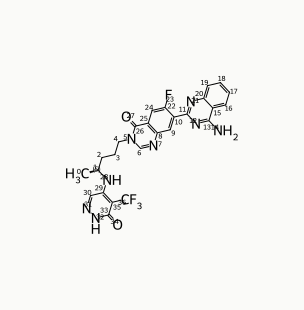 C[C@@H](CCCn1cnc2cc(-c3nc(N)c4ccccc4n3)c(F)cc2c1=O)Nc1cn[nH]c(=O)c1C(F)(F)F